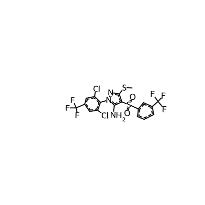 CSc1nn(-c2c(Cl)cc(C(F)(F)F)cc2Cl)c(N)c1S(=O)(=O)c1cccc(C(F)(F)F)c1